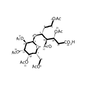 CC(=O)OCC[C@@H](O[C@H]1O[C@H](COC(C)=O)[C@H](OC(C)=O)[C@H](OC(C)=O)[C@H]1OC(C)=O)[C@H](OC(C)=O)[C@@H](CC(=O)O)OC(C)=O